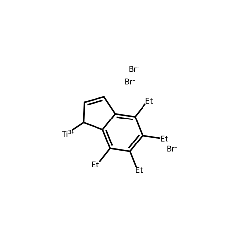 CCc1c2c(c(CC)c(CC)c1CC)[CH]([Ti+3])C=C2.[Br-].[Br-].[Br-]